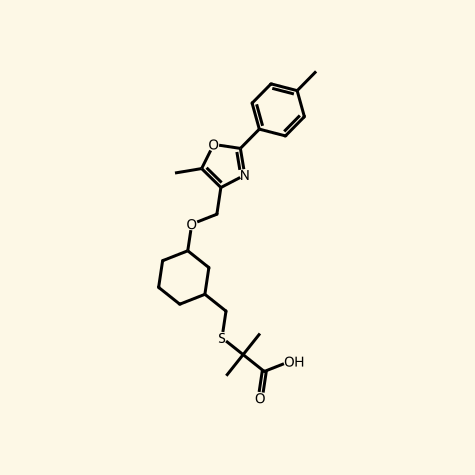 Cc1ccc(-c2nc(COC3CCCC(CSC(C)(C)C(=O)O)C3)c(C)o2)cc1